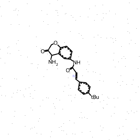 CC(C)(C)c1ccc(/C=C/C(=O)Nc2ccc3c(c2)C(N)C(=O)CO3)cc1